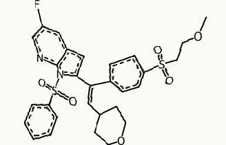 COCCS(=O)(=O)c1ccc(C(=CC2CCOCC2)c2cc3cc(F)cnc3n2S(=O)(=O)c2ccccc2)cc1